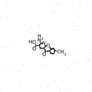 Cc1ccc2c(=O)c3cc(C(=O)O)c(N)nc3oc2c1